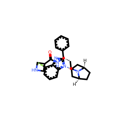 O=C(N[C@@H](CCN1[C@@H]2CC[C@H]1C[C@H](n1cnc3c(F)cccc31)C2)c1ccccc1)C1CNC1